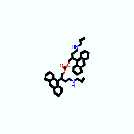 C=CCNCCC(COC(=O)OCC(CCNCC=C)c1c2ccccc2cc2ccccc12)c1c2ccccc2cc2ccccc12